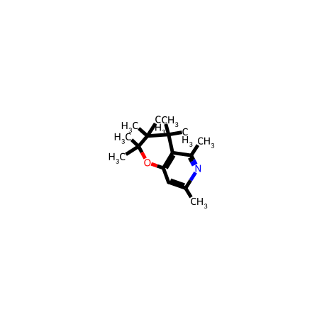 Cc1cc2c(c(C)n1)C(C)(C)C(C)(C)C(C)(C)O2